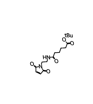 CC(C)(C)OC(=O)CCCCC(=O)NCCN1C(=O)C=CC1=O